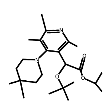 Cc1nc(C)c(C(OC(C)(C)C)C(=O)OC(C)C)c(N2CCC(C)(C)CC2)c1C